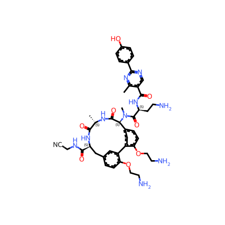 Cc1nc(-c2ccc(O)cc2)ncc1C(=O)N[C@@H](CCN)C(=O)N(C)[C@@H]1C(=O)N[C@@H](C)C(=O)N[C@H](C(=O)NCC#N)Cc2ccc(OCCN)c(c2)-c2cc1ccc2OCCN